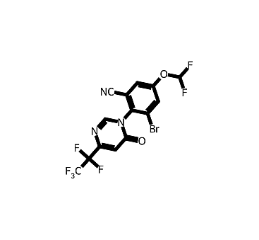 N#Cc1cc(OC(F)F)cc(Br)c1-n1cnc(C(F)(F)C(F)(F)F)cc1=O